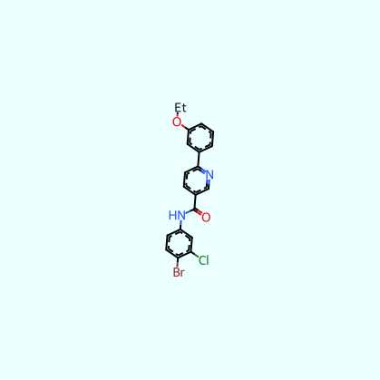 CCOc1cccc(-c2ccc(C(=O)Nc3ccc(Br)c(Cl)c3)cn2)c1